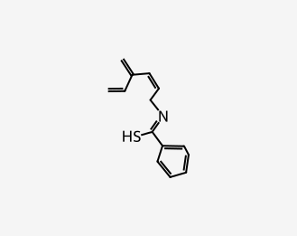 C=CC(=C)/C=C\C/N=C(\S)c1ccccc1